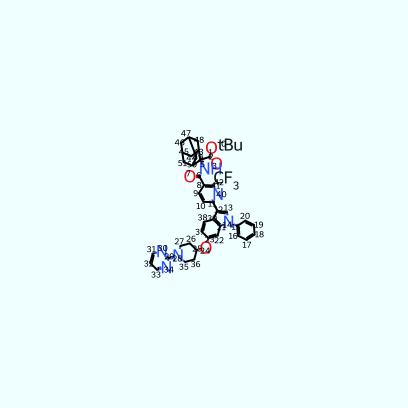 CC(C)(C)OC(=O)C1(NC(=O)c2ccc(-c3cn(-c4ccccc4)c4cc(OC5CCN(c6ncccn6)CC5)ccc34)nc2C(F)(F)F)C2CC3CC(C2)CC1C3